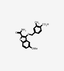 COc1ccc2sc(C(N)=O)c(SCc3ccc(C(=O)O)c(C)c3)c2c1